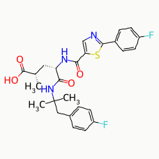 C[C@@H](C[C@H](NC(=O)c1cnc(-c2ccc(F)cc2)s1)C(=O)NC(C)(C)Cc1ccc(F)cc1)C(=O)O